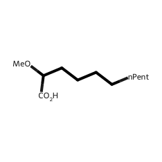 CCCCCCCCCC(OC)C(=O)O